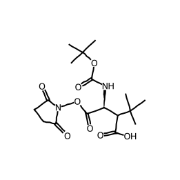 CC(C)(C)OC(=O)N[C@H](C(=O)ON1C(=O)CCC1=O)C(C(=O)O)C(C)(C)C